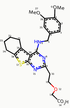 COc1ccc(CNc2nc(CCOCC(=O)O)nc3sc4c(c23)CCCC4)cc1OC